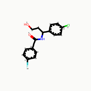 O=C(NC(CCO)c1ccc(Cl)cc1)c1ccc(F)cc1